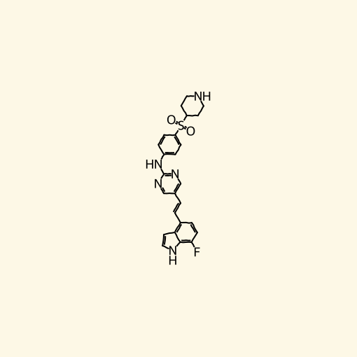 O=S(=O)(c1ccc(Nc2ncc(/C=C/c3ccc(F)c4[nH]ccc34)cn2)cc1)C1CCNCC1